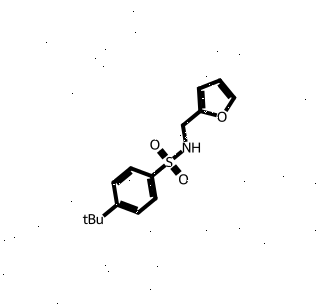 CC(C)(C)c1ccc(S(=O)(=O)NCc2ccco2)cc1